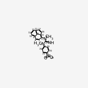 CN(C(=N)N(C)c1ccc2cccc3c2c1C=C3)c1ccc([N+](=O)[O-])cc1